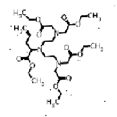 C=CCC(C(=O)OCC)N(CCN(CC(=O)OCC)CC(=O)OCC)CCN(CC(=O)OCC)CC(=O)OCC